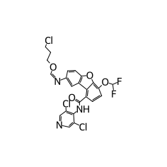 O=C(Nc1c(Cl)cncc1Cl)c1ccc(OC(F)F)c2oc3ccc(/N=C\OCCCCl)cc3c12